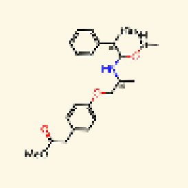 COC(=O)Cc1ccc(OC[C@H](C)NC(O[SiH](C)C)[C@@H](c2ccccc2)C(C)(C)C)cc1